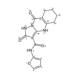 O=C(Nc1ccco1)c1c(=O)[nH]n2c(=O)c3c([nH]c12)CCCC3